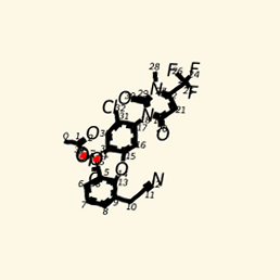 CC(=O)OOc1cccc(CC#N)c1Oc1cc(-n2c(=O)cc(C(F)(F)F)n(C)c2=O)c(Cl)cc1[N+](=O)[O-]